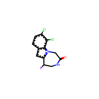 O=C1Cn2c(cc3ccc(Cl)c(Cl)c32)C(I)CN1